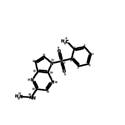 Cc1ccccc1S(=O)(=O)n1ccc2nc(NN)cnc21